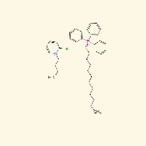 CCCCCCCCCCCC[PH](c1ccccc1)(c1ccccc1)c1ccccc1.CCCCN1C=CC=CC1Br